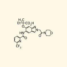 CCC(C)(Oc1cc2nn(CC(=O)N3CCOCC3)cc2cc1NC(=O)c1cccc(C(F)(F)F)n1)C(=O)O